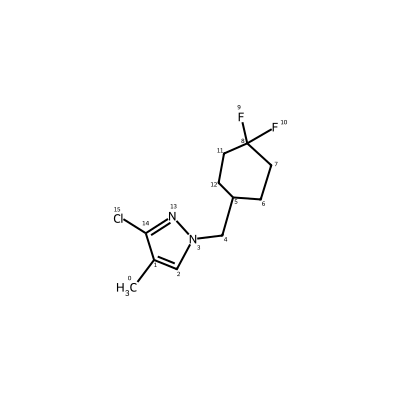 Cc1cn(CC2CCC(F)(F)CC2)nc1Cl